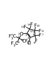 FC(F)(F)C(OC1=C(Cl)C(F)(F)C(F)(F)C1(F)F)(C(F)(F)F)C(F)(F)F